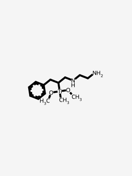 C[O][Ti]([CH3])([O]C)[CH](CNCCN)Cc1ccccc1